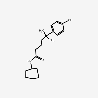 CC(C)(CCCC(=O)NC1CCCCC1)c1ccc(O)cc1